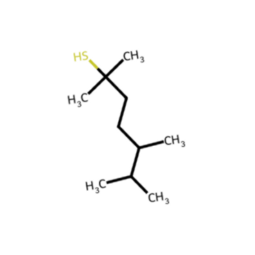 CC(C)C(C)CCC(C)(C)S